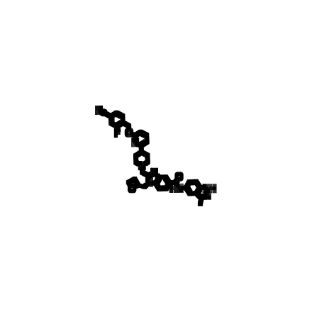 Cc1n[nH]c2ccc(NC(=O)c3ccc4c(c3)nc(CN3CCC(c5cccc(OCc6ccc(C#N)cc6F)n5)CC3)n4C[C@@H]3CCO3)cc12